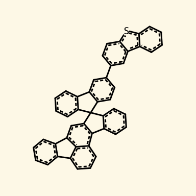 c1ccc2c(c1)-c1cccc3c4c(cc-2c13)C1(c2ccccc2-c2cc(-c3ccc5sc6ccccc6c5c3)ccc21)c1ccccc1-4